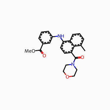 COC(=O)c1cccc(Nc2ccc(C(=O)N3CCOCC3)c3c(C)cccc23)c1